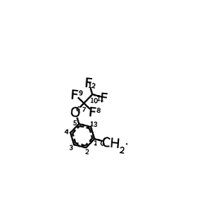 [CH2]c1cccc(OC(F)(F)C(F)F)c1